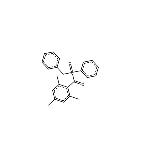 Cc1cc(C)c(C(=O)P(=O)(Cc2ccccc2)c2ccccc2)c(C)c1